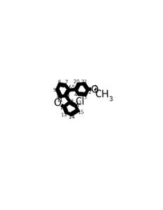 COc1ccc(-c2cccc3oc4cccc(Cl)c4c23)cc1